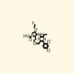 CCc1nc(-c2ccc(Cl)cc2Cl)c(CC)nc1N[C@@H]1C(CCO)N(C(=O)O)C[C@@H]1OCCF